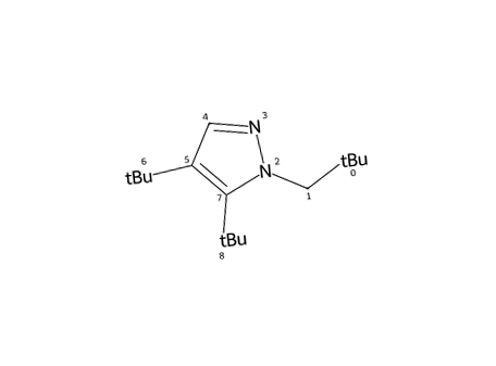 CC(C)(C)Cn1ncc(C(C)(C)C)c1C(C)(C)C